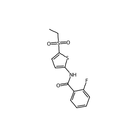 CCS(=O)(=O)c1ccc(NC(=O)c2ccccc2F)s1